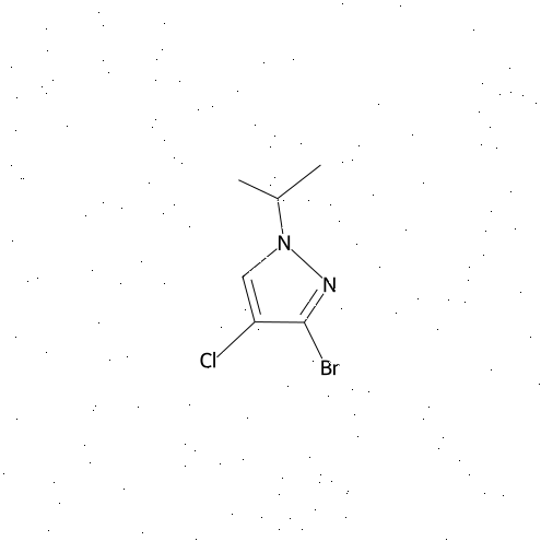 CC(C)n1cc(Cl)c(Br)n1